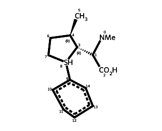 CNC(C(=O)O)[C@H]1[C@H](C)CC[SH]1c1ccccc1